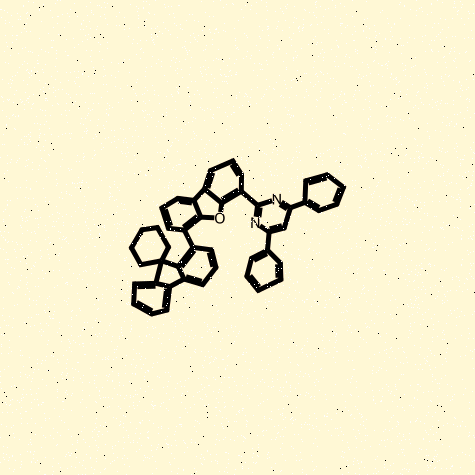 c1ccc(-c2cc(-c3ccccc3)nc(-c3cccc4c3oc3c(-c5cccc6c5C5(CCCCC5)c5ccccc5-6)cccc34)n2)cc1